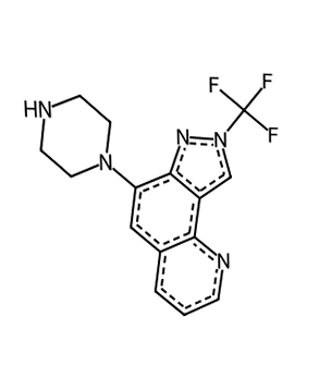 FC(F)(F)n1cc2c(n1)c(N1CCNCC1)cc1cccnc12